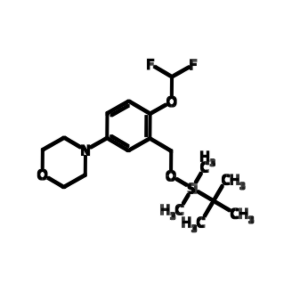 CC(C)(C)[Si](C)(C)OCc1cc(N2CCOCC2)ccc1OC(F)F